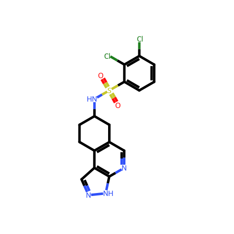 O=S(=O)(NC1CCc2c(cnc3[nH]ncc23)C1)c1cccc(Cl)c1Cl